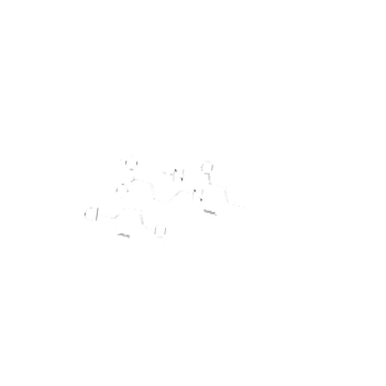 COC(=O)c1cnc(-n2ccc(C)cc2=O)cc1-c1cc(Cl)ccc1OC